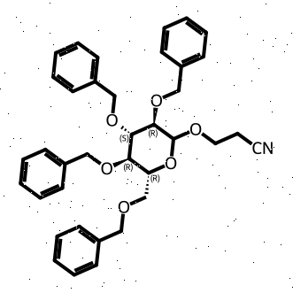 N#CCCOC1O[C@H](COCc2ccccc2)[C@@H](OCc2ccccc2)[C@H](OCc2ccccc2)[C@H]1OCc1ccccc1